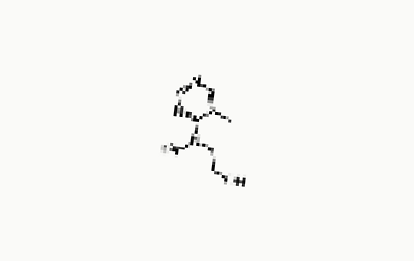 CCCN(CCO)c1ncncc1C